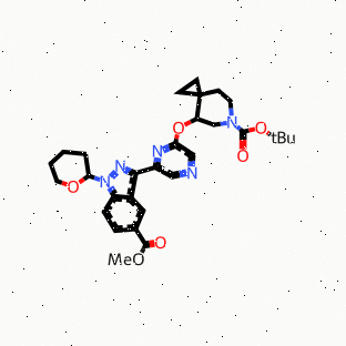 COC(=O)c1ccc2c(c1)c(-c1cncc(OC3CN(C(=O)OC(C)(C)C)CCC34CC4)n1)nn2C1CCCCO1